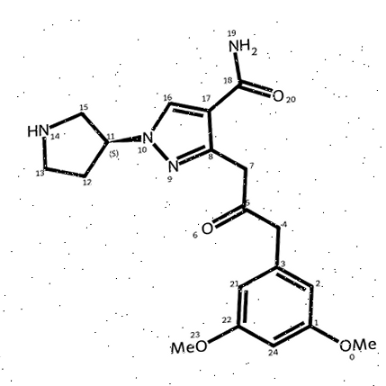 COc1cc(CC(=O)Cc2nn([C@H]3CCNC3)cc2C(N)=O)cc(OC)c1